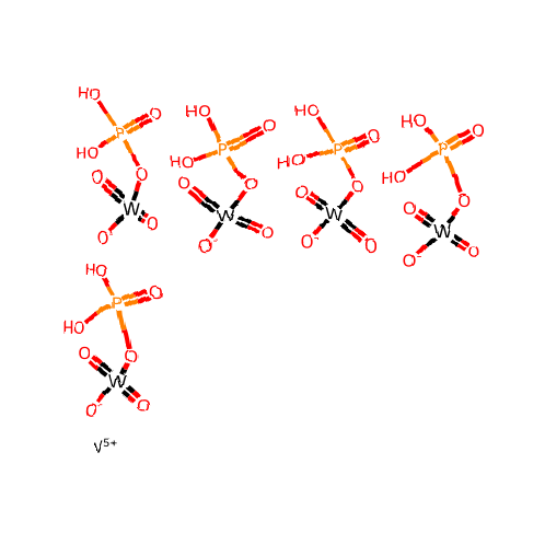 O=P(O)(O)[O][W](=[O])(=[O])[O-].O=P(O)(O)[O][W](=[O])(=[O])[O-].O=P(O)(O)[O][W](=[O])(=[O])[O-].O=P(O)(O)[O][W](=[O])(=[O])[O-].O=P(O)(O)[O][W](=[O])(=[O])[O-].[V+5]